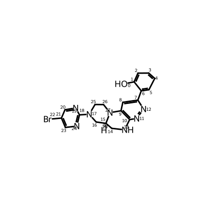 Oc1ccccc1-c1cc2c(nn1)NC[C@H]1CN(c3ncc(Br)cn3)CCN21